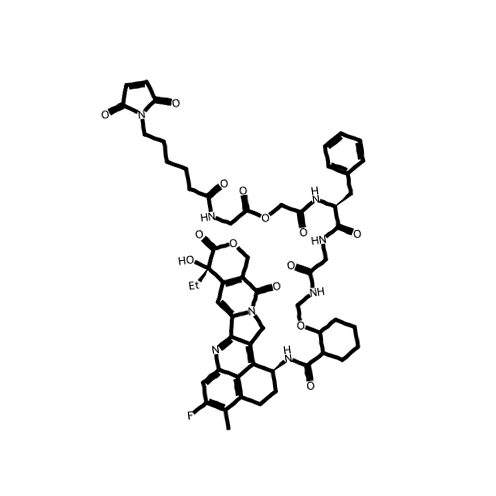 CC[C@@]1(O)C(=O)OCc2c1cc1n(c2=O)Cc2c-1nc1cc(F)c(C)c3c1c2[C@@H](NC(=O)C1CCCCC1OCNC(=O)CNC(=O)[C@H](Cc1ccccc1)NC(=O)COC(=O)CNC(=O)CCCCCN1C(=O)C=CC1=O)CC3